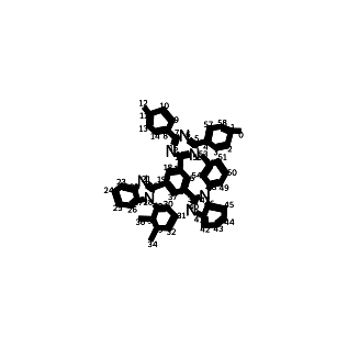 Cc1ccc(-c2nc(-c3ccc(C)cc3)nc(-c3cc(-c4nc5ccccc5n4C4=CC=CC(C)C4C)cc(-c4nc5ccccc5n4-c4cccc(C)c4)c3)n2)cc1